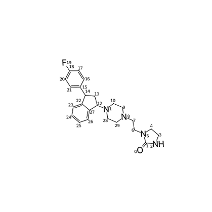 O=C1NCCN1CCN1CCN(C2CC(c3ccc(F)cc3)c3ccccc32)CC1